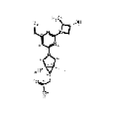 C[C@H]1[C@H](O)CN1c1nc(CC(F)(F)F)cc(N2C[C@@H]3[C@H](C2)[C@H]3CS(=O)O)n1